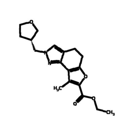 CCOC(=O)c1oc2c(c1C)-c1nn(C[C@@H]3CCOC3)cc1CC2